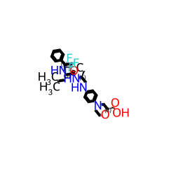 CC[C@@H](CNc1ccc(N2CCO[C@@H](C(=O)O)C2)cc1)NC(=O)[C@H](CC(C)C)N[C@@H](c1ccccc1)C(F)(F)F